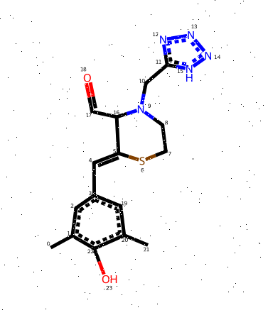 Cc1cc(C=C2SCCN(Cc3nnn[nH]3)C2C=O)cc(C)c1O